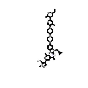 C=CCCC(C(=C)NC)c1cc(C)c(N2CCC(N3CCN(c4ccc5[nH]/c(=N\C(=C)c6cc(C)nc(-c7cnn(C)c7CCC)c6)n(CC6CC6)c5c4)CC3)CC2)cn1